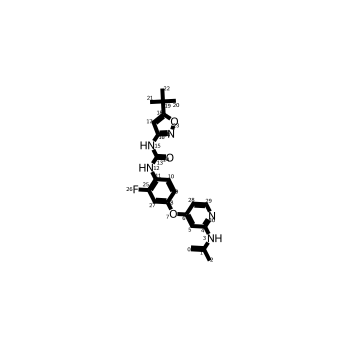 C=C(C)Nc1cc(Oc2ccc(NC(=O)Nc3cc(C(C)(C)C)on3)c(F)c2)ccn1